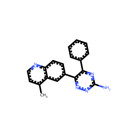 Cc1ccnc2ccc(-c3nnc(N)nc3-c3ccccc3)cc12